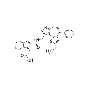 CCc1cc2c(s1)-n1c(nnc1CNC(=O)c1cc3ccccc3n1CC(=O)O)CN=C2c1ccccc1